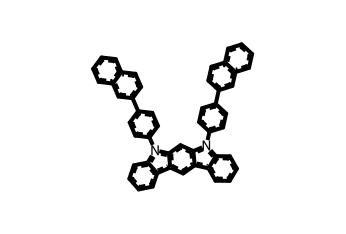 c1ccc2cc(-c3ccc(-n4c5ccccc5c5cc6c7ccccc7n(-c7ccc(-c8ccc9ccccc9c8)cc7)c6cc54)cc3)ccc2c1